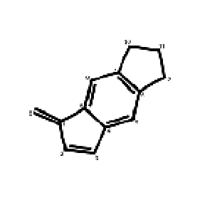 C=C1C=Cc2cc3c(cc21)CCC3